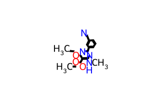 CCCOc1nc(-c2cccc(C#N)c2)nc(NC)c1C(=O)OCC